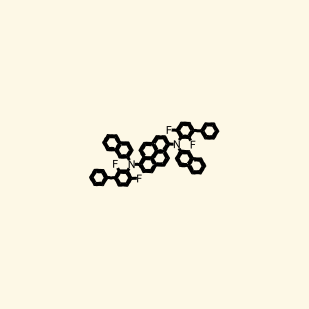 Fc1ccc(-c2ccccc2)c(F)c1N(c1ccc2ccccc2c1)c1ccc2ccc3c(N(c4ccc5ccccc5c4)c4c(F)ccc(-c5ccccc5)c4F)ccc4ccc1c2c43